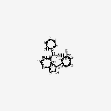 NC(c1ccccn1)c1ncnc2scc(-c3cccc(F)c3)c12